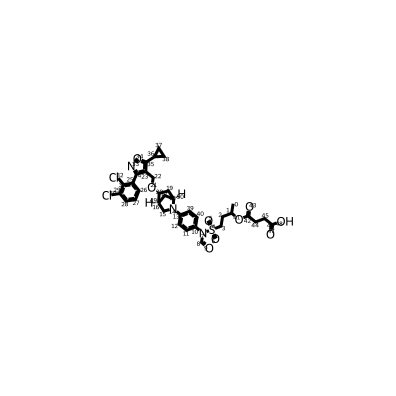 CC(CCS(=O)(=O)N(C=O)c1ccc(N2C[C@@H]3C[C@H]2C[C@H]3OCc2c(-c3cccc(Cl)c3Cl)noc2C2CC2)cc1)OC(=O)CCC(=O)O